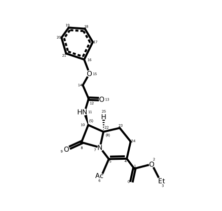 C=C(OCC)C1=C(C(C)=O)N2C(=O)[C@@H](NC(=O)COc3ccccc3)[C@H]2CC1